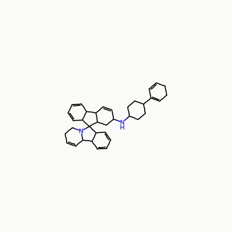 C1=CC2C3C=CC(NC4CCC(C5=CCCC=C5)CC4)CC3C3(C2C=C1)C1C=CC=CC1C1C=CCCN13